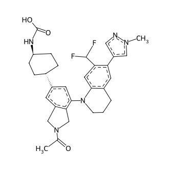 CC(=O)N1Cc2cc([C@H]3CC[C@H](NC(=O)O)CC3)cc(N3CCCc4cc(-c5cnn(C)c5)c(C(F)F)cc43)c2C1